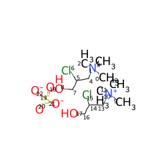 C[N+](C)(C)CC(Cl)CO.C[N+](C)(C)CC(Cl)CO.O=S(=O)([O-])[O-]